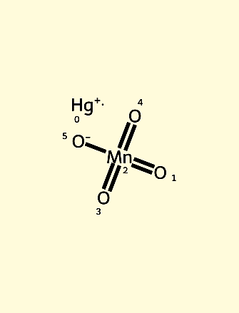 [Hg+].[O]=[Mn](=[O])(=[O])[O-]